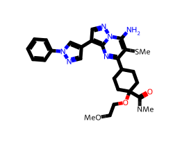 CNC(=O)C1(OCCOC)CCC(c2nc3c(-c4cnn(-c5ccccc5)c4)cnn3c(N)c2SC)CC1